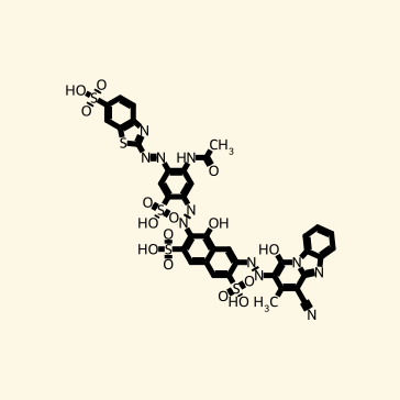 CC(=O)Nc1cc(N=Nc2c(S(=O)(=O)O)cc3cc(S(=O)(=O)O)c(N=Nc4c(C)c(C#N)c5nc6ccccc6n5c4O)cc3c2O)c(S(=O)(=O)O)cc1N=Nc1nc2ccc(S(=O)(=O)O)cc2s1